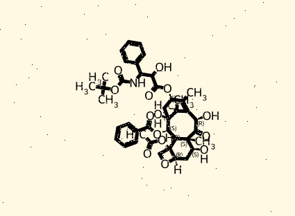 CC(=O)O[C@@]12CO[C@@H]1C[C@H](O)[C@@]1(C)C(=O)[C@H](O)C3=C(C)[C@@H](OC(=O)C(O)C(NC(=O)OC(C)(C)C)c4ccccc4)C[C@@](O)([C@@H](OC(=O)c4ccccc4)[C@H]21)C3(C)C